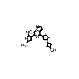 Cn1cc(-c2cn3nccc3c(-c3cnn(C4CC(C#N)C4)c3)n2)c([N+](=O)[O-])n1